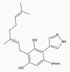 CCCCCc1cc(O)c(C/C=C(\C)CCC=C(C)C)c(O)c1-c1cn[nH]c1